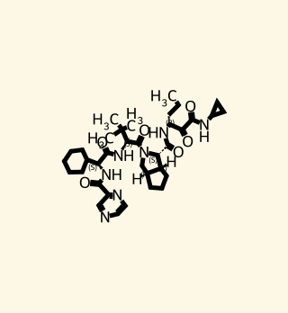 CCC[C@@H](NC(=O)[C@@H]1[C@@H]2CCC[C@H]2CN1C(=O)[C@@H](NC(=O)[C@@H](NC(=O)c1cnccn1)C1CCCCC1)C(C)(C)C)C(=O)C(=O)NC1CC1